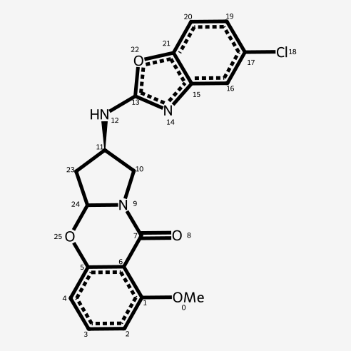 COc1cccc2c1C(=O)N1C[C@H](Nc3nc4cc(Cl)ccc4o3)CC1O2